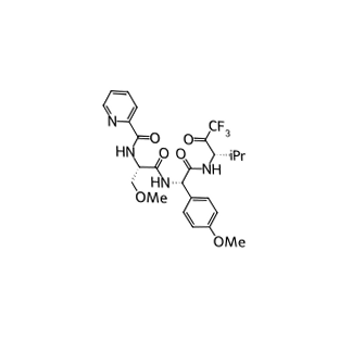 COC[C@H](NC(=O)c1ccccn1)C(=O)N[C@H](C(=O)N[C@H](C(=O)C(F)(F)F)C(C)C)c1ccc(OC)cc1